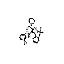 COc1cccc2oc(-c3c(C(=O)N4CCCCC4)nn(C(F)(F)F)c3-c3ccccc3)nc12